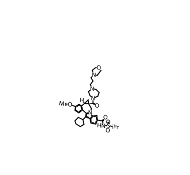 COc1ccc2c(c1)[C@@H]1C[C@]1(C(=O)N1CCCN(CCCN3CCOCC3)CC1)Cn1c-2c(C2CCCCC2)c2ccc(C(=O)NS(=O)(=O)C(C)C)cc21